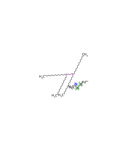 CC#N.CC#N.CCCCCCCCCCCCCCP(CCCCCCCCCCCCCC)CCCP(CCCCCCCCCCCCCC)CCCCCCCCCCCCCC.F[B-](F)(F)F.F[B-](F)(F)F.[Pd+2]